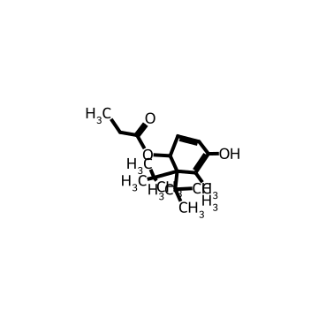 CCC(=O)OC1C=CC(O)=C(C)C1(C(C)(C)C)C(C)(C)C